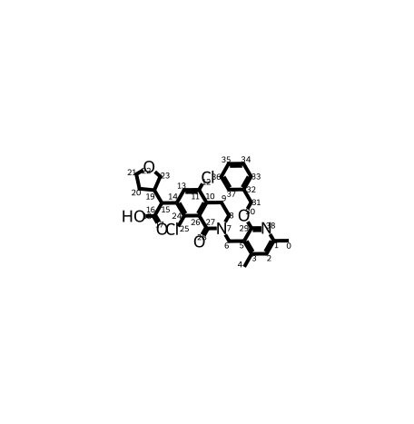 Cc1cc(C)c(CN2CCc3c(Cl)cc(C(C(=O)O)C4CCOC4)c(Cl)c3C2=O)c(OCc2ccccc2)n1